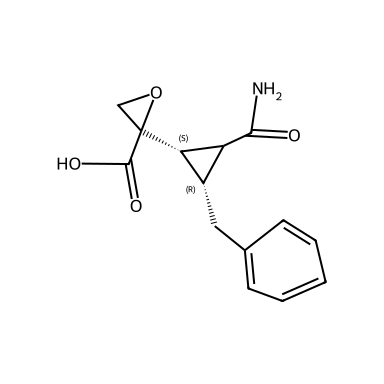 NC(=O)C1[C@@H](C2(C(=O)O)CO2)[C@H]1Cc1ccccc1